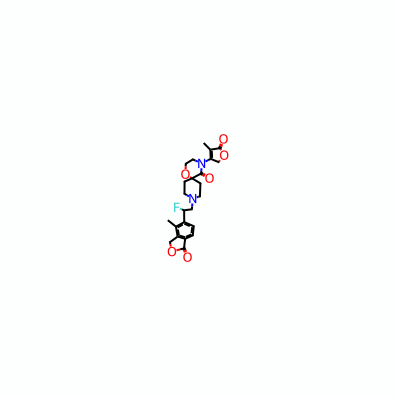 CC1=C(N2CCOC3(CCN(CC(F)c4ccc5c(c4C)COC5=O)CC3)C2=O)COC1=O